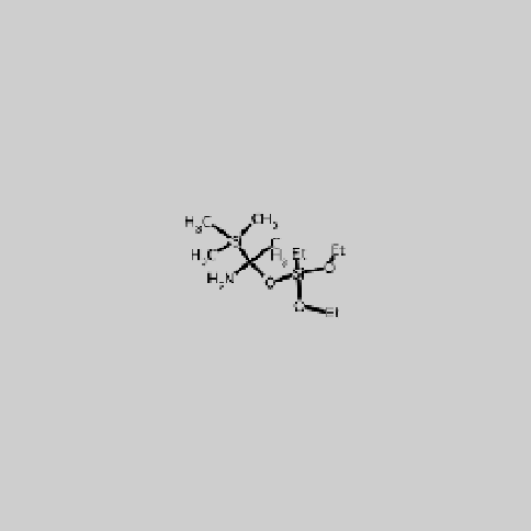 CCO[Si](CC)(OCC)OC(C)(N)[Si](C)(C)C